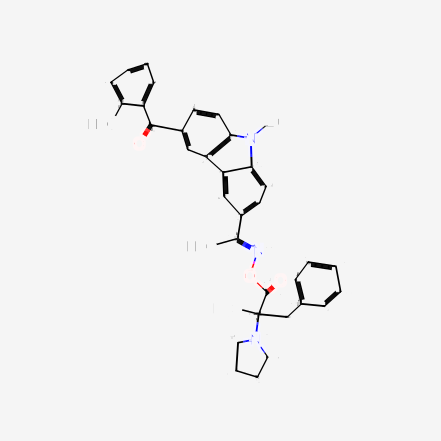 CCn1c2ccc(C(=O)c3ccccc3C)cc2c2cc(/C(C)=N/OC(=O)C(C)(Cc3ccccc3)N3CCCC3)ccc21